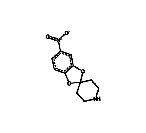 O=[N+]([O-])c1ccc2c(c1)OC1(CCNCC1)O2